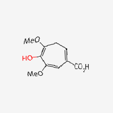 COC1=CC(C(=O)O)=CCC(OC)=C1O